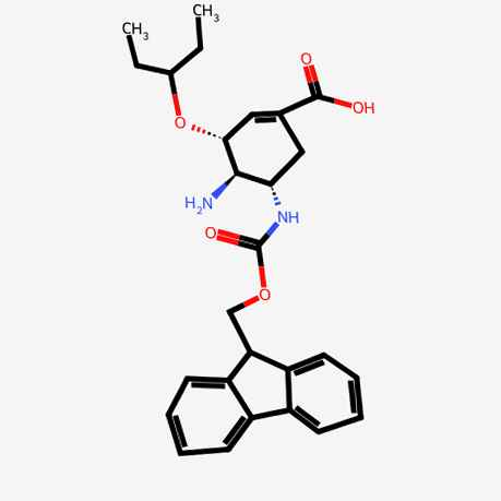 CCC(CC)O[C@@H]1C=C(C(=O)O)C[C@H](NC(=O)OCC2c3ccccc3-c3ccccc32)[C@H]1N